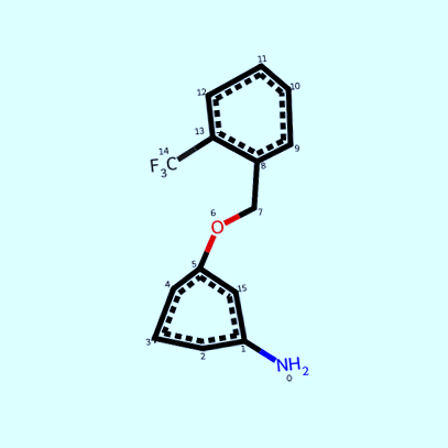 Nc1c[c]cc(OCc2ccccc2C(F)(F)F)c1